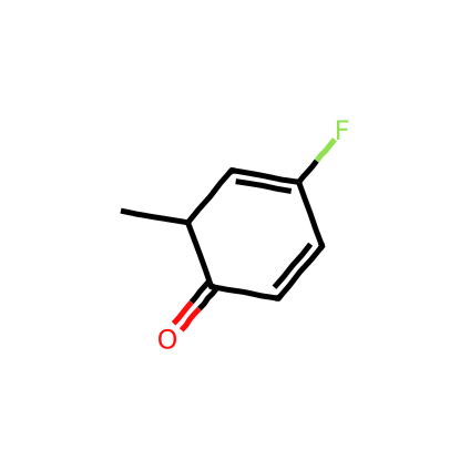 CC1C=C(F)C=CC1=O